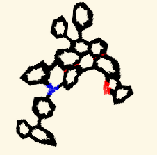 c1ccc(-c2c(-c3ccccc3)c3cc(-c4ccccc4N(c4ccc(-c5cccc6ccccc56)cc4)c4ccc(-c5cccc6c5oc5ccccc56)cc4)ccc3c3ccccc23)cc1